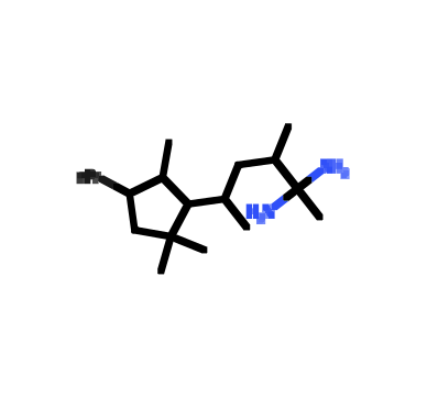 CCCC1CC(C)(C)C(C(C)CC(C)C(C)(N)N)C1C